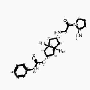 N#C[C@@H]1CCCN1C(=O)CN[C@@H]1C[C@@H]2C[C@H](OC(=O)Nc3ccccc3)C[C@@H]2C1